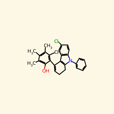 Cc1c(C)c(C)c(C2=CCCc3c2c2cc(Cl)ccc2n3-c2ccccc2)c(O)c1C